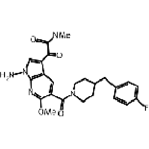 CNC(=O)C(=O)c1cn(N)c2nc(OC)c(C(=O)N3CCC(Cc4ccc(F)cc4)CC3)cc12